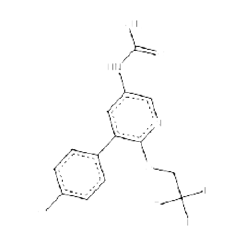 CC(=O)Nc1cnc(OCC(F)(F)F)c(-c2ccc(Cl)cc2)c1